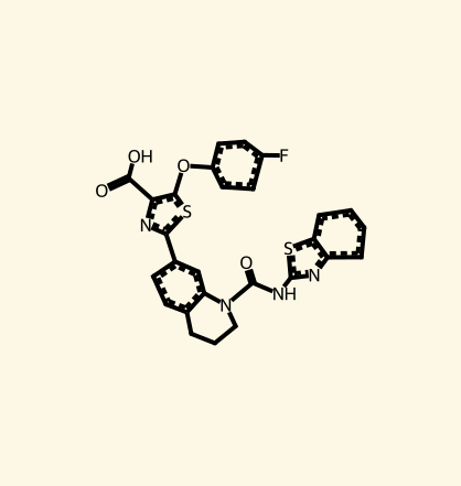 O=C(O)c1nc(-c2ccc3c(c2)N(C(=O)Nc2nc4ccccc4s2)CCC3)sc1Oc1ccc(F)cc1